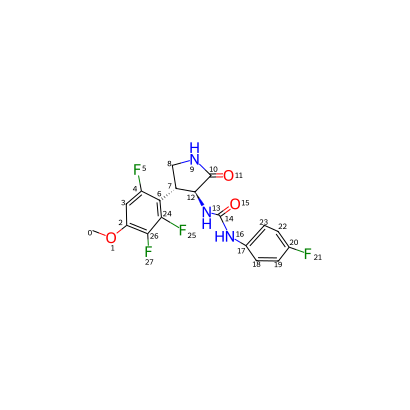 COc1cc(F)c([C@@H]2CNC(=O)[C@H]2NC(=O)Nc2ccc(F)cc2)c(F)c1F